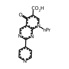 CCCn1cc(C(=O)O)c(=O)c2cnc(-c3ccncc3)nc21